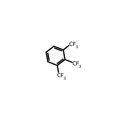 FC(F)(F)c1cccc(C(F)(F)F)c1C(F)(F)F